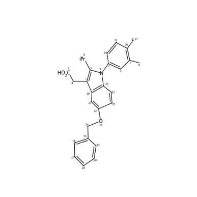 Cc1cc(-n2c(C(C)C)c(CC(=O)O)c3cc(OCc4ccccc4)ccc32)ccc1F